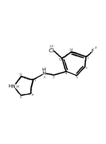 Fc1ccc(CNC2CCNC2)c(Cl)c1